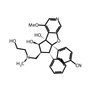 COc1cncc2c1[C@]1(O)[C@H](O)[C@H](CN(C)CCO)[C@@H](c3ccccc3)[C@]1(c1ccc(C#N)cc1)O2